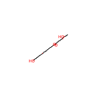 CCCCCCC(O)CCCCCCCCCCC(=O)OCCCCCCCCCCCCCCCCCCCCCCCCCCCCO